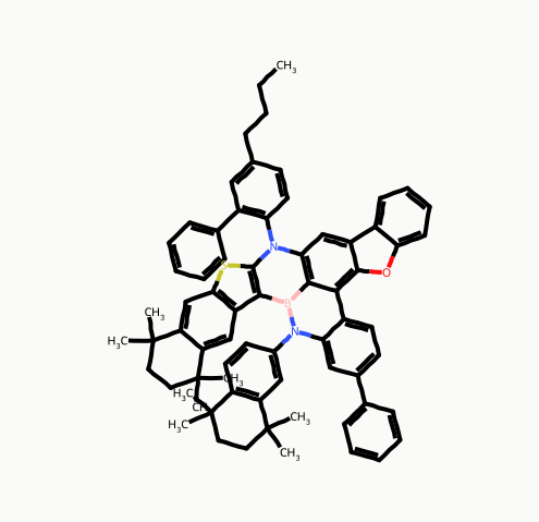 CCCCc1ccc(N2c3cc4c(oc5ccccc54)c4c3B(c3c2sc2cc5c(cc32)C(C)(C)CCC5(C)C)N(c2ccc3c(c2)C(C)(C)CCC3(C)C)c2cc(-c3ccccc3)ccc2-4)c(-c2ccccc2)c1